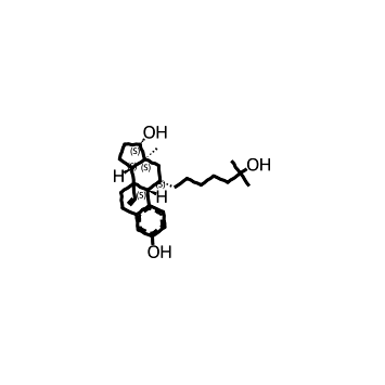 C=CC12CCc3cc(O)ccc3[C@H]1[C@@H](CCCCCC(C)(C)O)C[C@]1(C)[C@@H](O)CC[C@@H]21